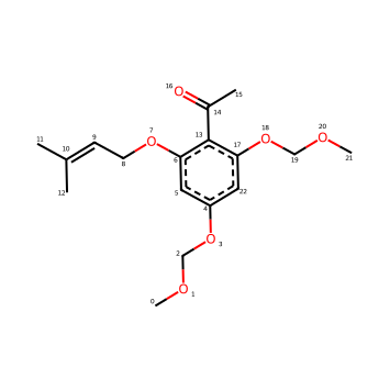 COCOc1cc(OCC=C(C)C)c(C(C)=O)c(OCOC)c1